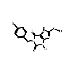 CCn1c(=O)n(Cc2ccc(Cl)cc2)c(=O)c2[nH]c(SC(C)C)nc21